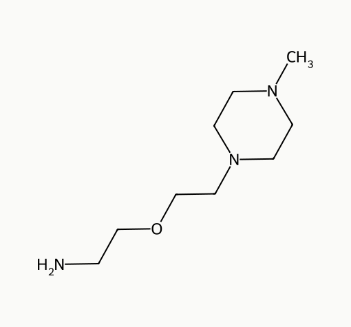 CN1CCN(CCOCCN)CC1